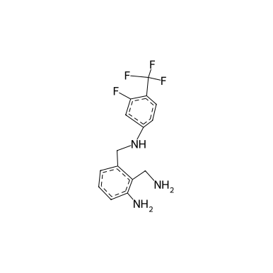 NCc1c(N)cccc1CNc1ccc(C(F)(F)F)c(F)c1